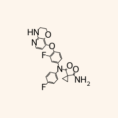 NC(=O)C1(C(=O)N(c2ccc(F)cc2)c2ccc(Oc3ccnc4c3OCCN4)c(F)c2)CC1